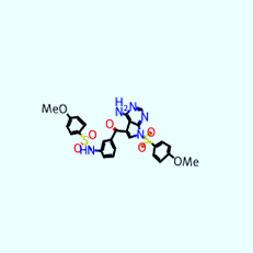 COc1ccc(S(=O)(=O)Nc2cccc(C(=O)c3cn(S(=O)(=O)c4ccc(OC)cc4)c4ncnc(N)c34)c2)cc1